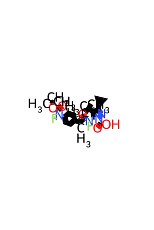 CC(C(=O)N(F)c1c(C(C)(C)C)c(C2CC2)nn1C(=O)O)c1ccc(N(F)C(=O)OC(C)(C)C)cc1